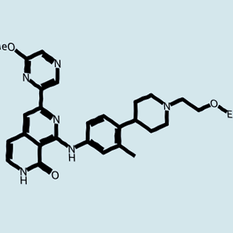 CCOCCN1CCC(c2ccc(Nc3nc(-c4cncc(OC)n4)cc4cc[nH]c(=O)c34)cc2C)CC1